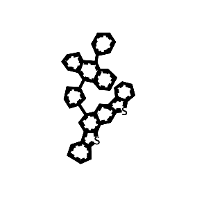 c1ccc(-c2c3ccccc3c(-c3cccc(-c4cc5c6ccccc6sc5c5cc6sc7ccccc7c6cc45)c3)c3ccccc23)cc1